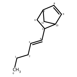 CCC/C=C/C1CC2C=CC1C2